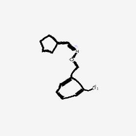 FC(F)(F)c1ccccc1CO/N=[C]\C1CCCC1